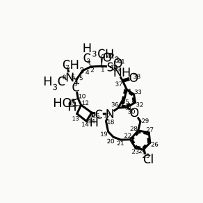 C[C@@H]1[C@@H](C)C[C@@H](N(C)C)C[C@H](O)[C@@H]2CC[C@H]2CN2CCCCc3cc(Cl)ccc3COc3ccc(cc32)C(=O)NS1(=O)=O